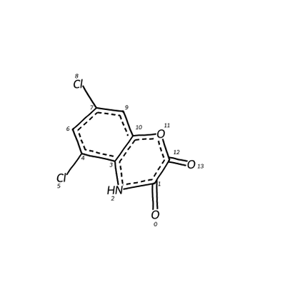 O=c1[nH]c2c(Cl)cc(Cl)cc2oc1=O